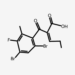 CCC=C(C(=O)O)C(=O)c1c(Br)cc(Br)c(F)c1C